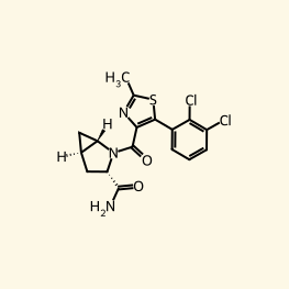 Cc1nc(C(=O)N2[C@H](C(N)=O)C[C@H]3C[C@@H]32)c(-c2cccc(Cl)c2Cl)s1